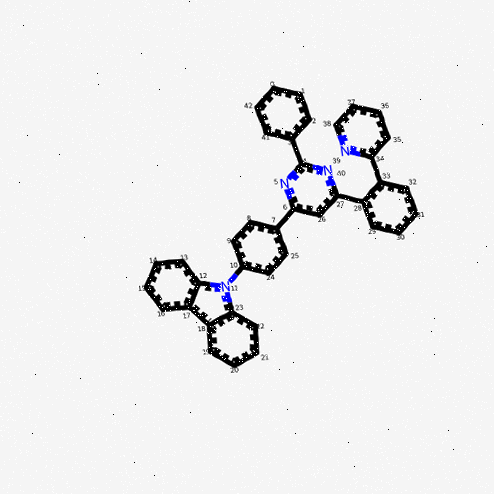 c1ccc(-c2nc(-c3ccc(-n4c5ccccc5c5ccccc54)cc3)cc(-c3ccccc3-c3ccccn3)n2)cc1